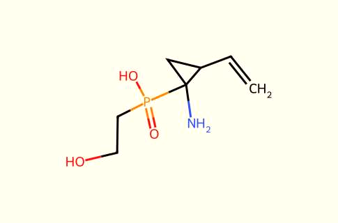 C=CC1CC1(N)P(=O)(O)CCO